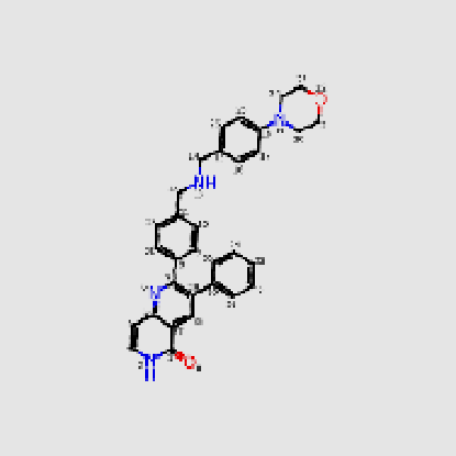 O=c1[nH]ccc2nc(-c3ccc(CNCc4ccc(N5CCOCC5)cc4)cc3)c(-c3ccccc3)cc12